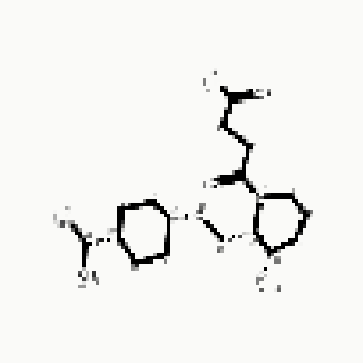 CC(=O)CCC(=O)N1CCC[C@H](N)[C@@H]1CO[C@H]1CC[C@@H](C(C)C)CC1